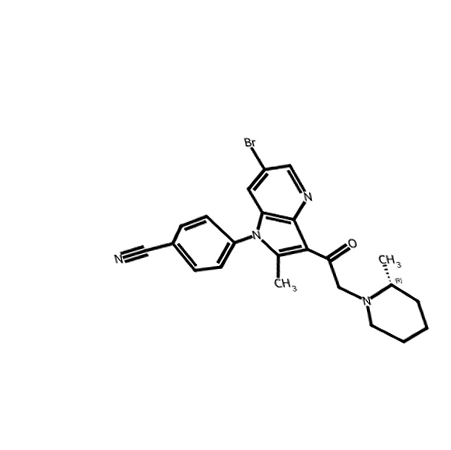 Cc1c(C(=O)CN2CCCC[C@H]2C)c2ncc(Br)cc2n1-c1ccc(C#N)cc1